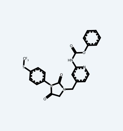 O=C(Nc1cc(CN2CC(=O)N(c3ccc(SC(F)(F)F)cc3)C2=O)ccn1)Oc1ccccc1